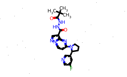 CC(C)(C)C(=O)NNC(=O)c1cnn2ccc(N3CCCC3c3cncc(F)c3)nc12